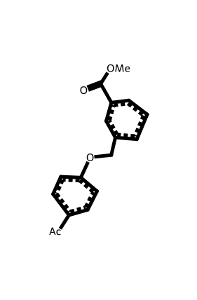 COC(=O)c1cccc(COc2ccc(C(C)=O)cc2)c1